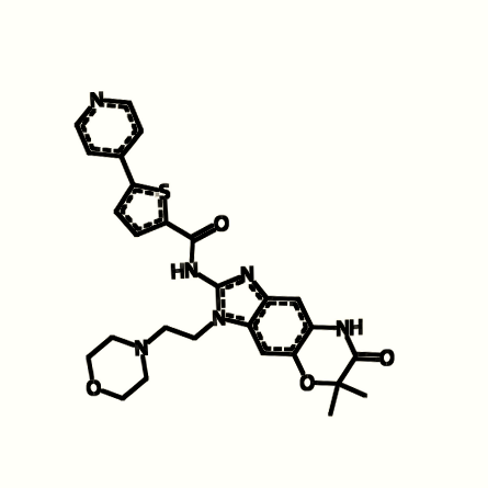 CC1(C)Oc2cc3c(cc2NC1=O)nc(NC(=O)c1ccc(-c2ccncc2)s1)n3CCN1CCOCC1